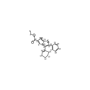 CCOC(=O)c1cn2c(C3=CCCCC3)c(-c3ccccc3)sc2n1